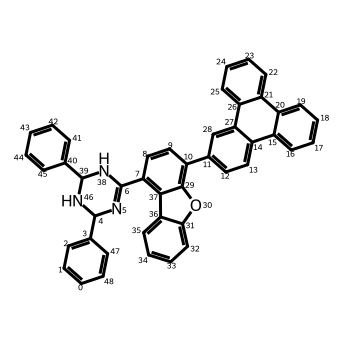 c1ccc(C2N=C(c3ccc(-c4ccc5c6ccccc6c6ccccc6c5c4)c4oc5ccccc5c34)NC(c3ccccc3)N2)cc1